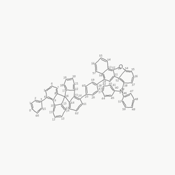 c1ccc(-c2cccc3c2-c2ccccc2C32c3ccccc3-c3c(-c4ccc(-c5cc6c(oc7cccc(N(c8ccccc8)c8ccccc8)c76)c6ccccc56)cc4)cccc32)cc1